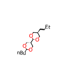 CC/C=C/[C@H]1CO[C@H]([C@H]2CO[C@H](CCCC)OC2)OC1